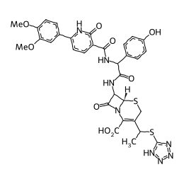 COc1ccc(-c2ccc(C(=O)NC(C(=O)NC3C(=O)N4C(C(=O)O)=C(C(C)Sc5nnn[nH]5)CS[C@@H]34)c3ccc(O)cc3)c(=O)[nH]2)cc1OC